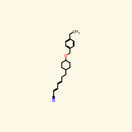 CCc1ccc(COC2CCC(CCC=CC=CC#N)CC2)cc1